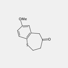 COc1ccc2c(c1)CC(=O)CCS2